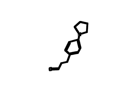 O=CCCc1ccc(N2CCCC2)cc1